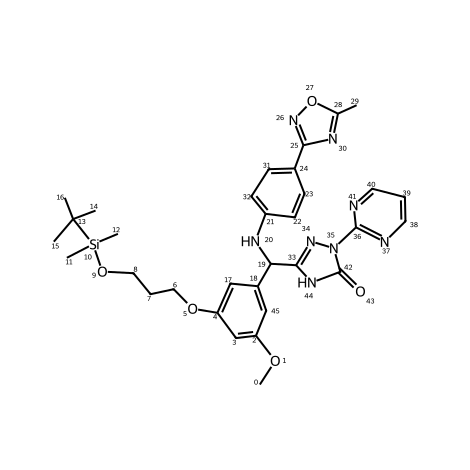 COc1cc(OCCCO[Si](C)(C)C(C)(C)C)cc(C(Nc2ccc(-c3noc(C)n3)cc2)c2nn(-c3ncccn3)c(=O)[nH]2)c1